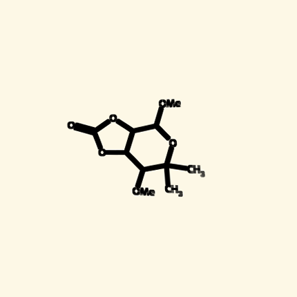 COC1OC(C)(C)C(OC)C2OC(=O)OC12